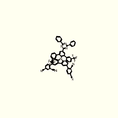 N#Cc1ccc(-c2ccc3c(c2)c2cc(-c4ccc(C#N)cc4C#N)ccc2n3-c2c(-c3cccc(C(F)(F)F)c3)cc(-c3nc(-c4ccccc4)nc(-c4ccccc4)n3)cc2-c2cccc(C(F)(F)F)c2)c(C#N)c1